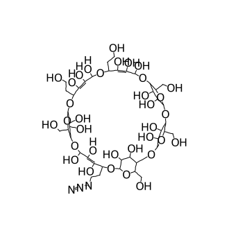 [N-]=[N+]=NCCC1OC2OC(CO)C(OC3OC(CO)C(OC4OC(CO)C(OC(O)/C(O)=C(/O)C(CCO)OC(O)/C(O)=C(/O)C(CCO)OC5OC(CO)C(OC(O)/C(O)=C/1O)C(O)C5O)C(O)C4O)C(O)C3O)C(O)C2O